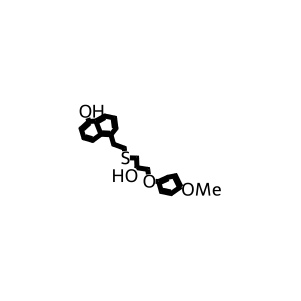 COc1ccc(OCC(O)CSCCc2cccc3c(O)cccc23)cc1